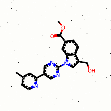 COC(=O)c1ccc2c(CO)cn(-c3ncc(-c4cc(C)ccn4)cn3)c2c1